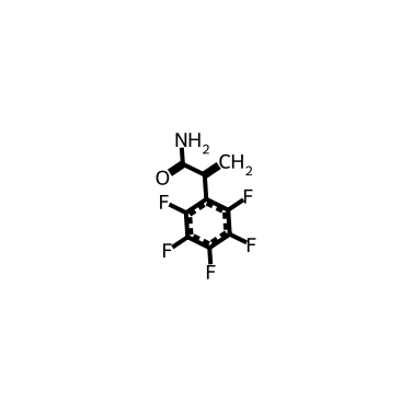 C=C(C(N)=O)c1c(F)c(F)c(F)c(F)c1F